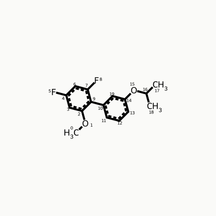 COc1cc(F)[c]c(F)c1-c1cccc(OC(C)C)c1